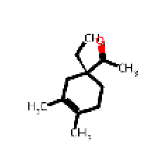 CC[C@@]1(C(C)=O)CCC(C)=C(C)C1